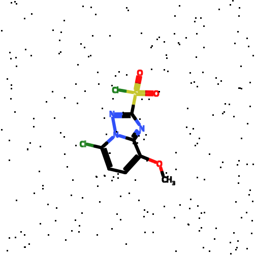 COc1ccc(Cl)n2nc(S(=O)(=O)Cl)nc12